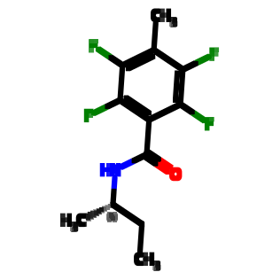 CC[C@H](C)NC(=O)c1c(F)c(F)c(C)c(F)c1F